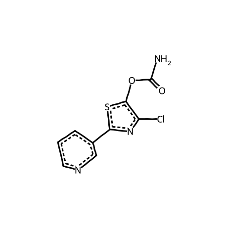 NC(=O)Oc1sc(-c2cccnc2)nc1Cl